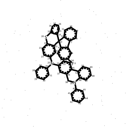 Fc1ccc2c(c1)-c1ccccc1C21c2ccccc2Sc2ccc(N(c3ccccc3)c3ccc4c(c3)CN(c3ccccc3)c3ccccc3-4)cc21